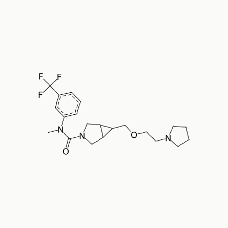 CN(C(=O)N1CC2C(COCCN3CCCC3)C2C1)c1cccc(C(F)(F)F)c1